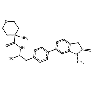 CN1C(=O)Cc2ccc(-c3ccc(CC(C#N)NC(=O)C4(N)CCOCC4)cc3)cc21